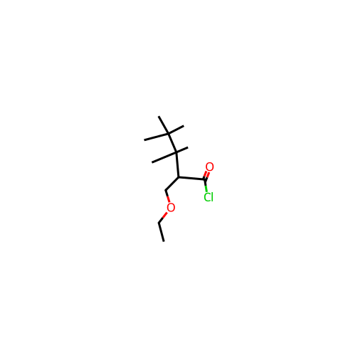 CCOCC(C(=O)Cl)C(C)(C)C(C)(C)C